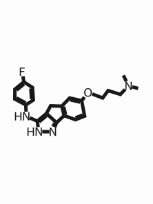 CN(C)CCCOc1ccc2c(c1)Cc1c-2n[nH]c1Nc1ccc(F)cc1